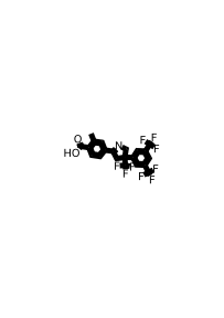 Cc1cc(C2=NCC(c3cc(C(F)(F)F)cc(C(F)(F)F)c3)(C(F)(F)F)C2)ccc1C(=O)O